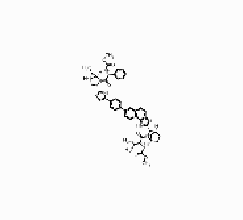 COC(=O)N[C@H](C(=O)N1[C@@H]2CC[C@@H](C2)[C@H]1c1nc2ccc3cc(-c4ccc(-c5cnc([C@@H]6C[C@H]7[C@@H](C)[C@H]7N6C(=O)[C@H](NC(=O)OC)c6ccccc6)[nH]5)cc4)ccc3c2[nH]1)C(C)C